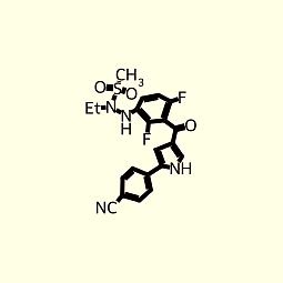 CCN(Nc1ccc(F)c(C(=O)c2c[nH]c(-c3ccc(C#N)cc3)c2)c1F)S(C)(=O)=O